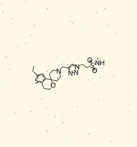 CCc1cc2c(s1)CCOC21CCN(Cc2cn(CCS(=O)(=O)NC)nn2)CC1